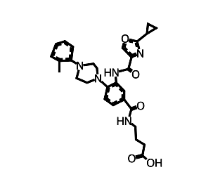 Cc1ccccc1N1CCN(c2ccc(C(=O)NCCCC(=O)O)cc2NC(=O)c2coc(C3CC3)n2)CC1